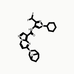 O=C(Nc1cn(C2CCCCC2)nc1C(F)F)c1cnn2ccc(N3CC4CCC(C3)O4)nc12